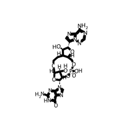 Nc1nc2c(ncn2[C@@H]2O[C@@H]3CCC[C@H]4[C@@H](O)[C@H](c5cnc6c(N)ncnn56)O[C@@H]4COP(=O)(O)O[C@@H]2[C@@H]3O)c(=O)[nH]1